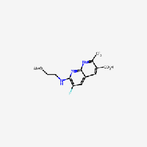 COCCNc1nc2nc(C(F)(F)F)c(C(=O)O)cc2cc1F